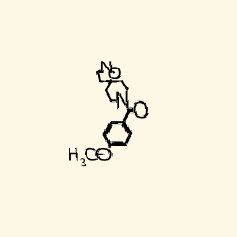 COc1ccc(C(=O)N2CCC3(CC=NO3)CC2)cc1